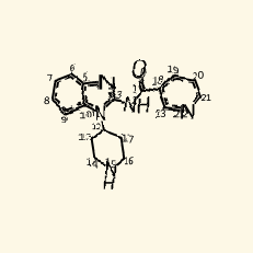 O=C(Nc1nc2ccccc2n1C1CCNCC1)c1cccnc1